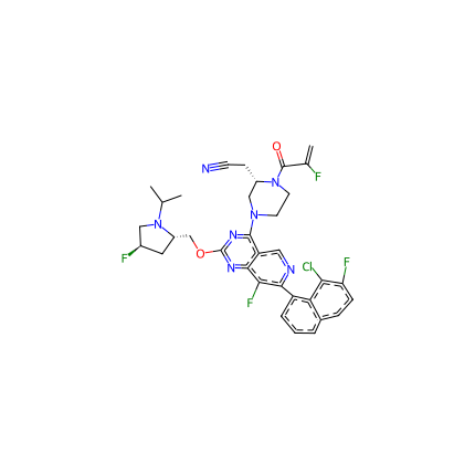 C=C(F)C(=O)N1CCN(c2nc(OC[C@@H]3C[C@@H](F)CN3C(C)C)nc3c(F)c(-c4cccc5ccc(F)c(Cl)c45)ncc23)C[C@@H]1CC#N